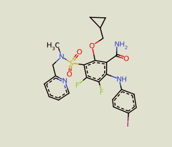 CN(Cc1ccccn1)S(=O)(=O)c1c(F)c(F)c(Nc2ccc(I)cc2)c(C(N)=O)c1OCC1CC1